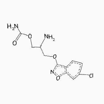 NC(=O)OCC(N)COc1noc2cc(Cl)ccc12